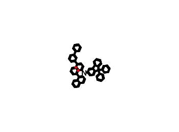 C1=CCCC(C2(c3ccccc3)c3ccccc3-c3cc(N(c4ccc(-c5cccc(-c6ccccc6)c5)cc4)c4ccc5ccccc5c4-c4ccccc4)ccc32)=C1